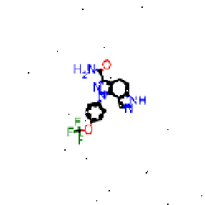 NC(=O)c1nn(-c2ccc(OC(F)(F)F)cc2)c2c1CCc1[nH]ncc1-2